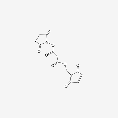 C=C1CCC(=O)N1OC(=O)CC(=O)OCN1C(=O)C=CC1=O